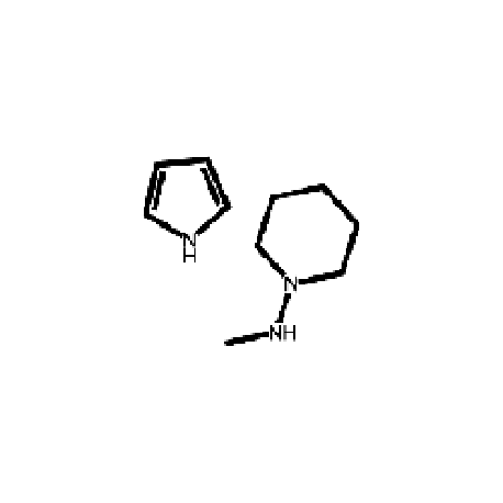 CNN1CCCCC1.c1cc[nH]c1